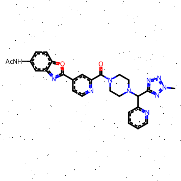 CC(=O)Nc1ccc2oc(-c3ccnc(C(=O)N4CCN(C(c5ccccn5)c5nnn(C)n5)CC4)c3)nc2c1